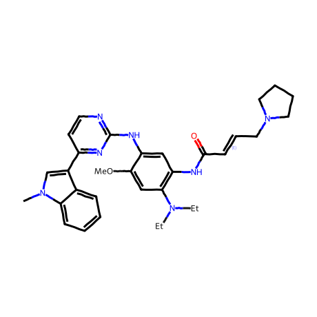 CCN(CC)c1cc(OC)c(Nc2nccc(-c3cn(C)c4ccccc34)n2)cc1NC(=O)/C=C/CN1CCCC1